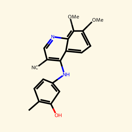 COc1ccc2c(Nc3ccc(C)c(O)c3)c(C#N)cnc2c1OC